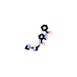 Cc1c(C(=O)NCc2cnc(-n3cccn3)s2)ccc2c1NC(=O)c1ccccc1S2